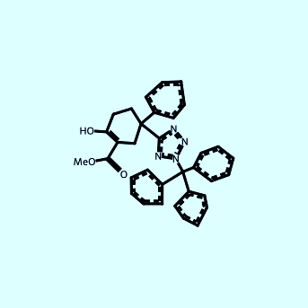 COC(=O)C1=C(O)CCC(c2ccccc2)(c2nnn(C(c3ccccc3)(c3ccccc3)c3ccccc3)n2)C1